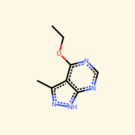 CCOc1ncnc2[nH]nc(C)c12